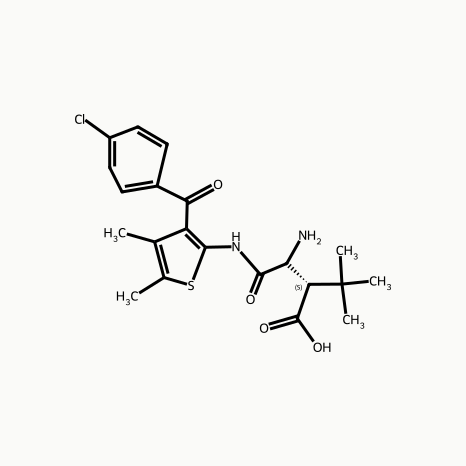 Cc1sc(NC(=O)C(N)[C@@H](C(=O)O)C(C)(C)C)c(C(=O)c2ccc(Cl)cc2)c1C